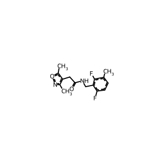 Cc1ccc(F)c(CNC(=O)Cc2c(C)noc2C)c1F